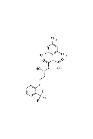 Cc1cc(C)c(C(C(=O)O)C(=O)CC(O)CCOc2ccccc2C(F)(F)F)c(C)c1